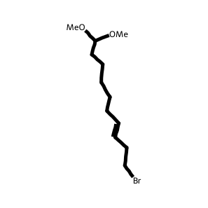 COC(CCCCC/C=C/CCBr)OC